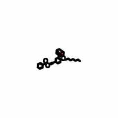 CCCCCCCOc1ccc(C#COC(=O)c2ccccc2)cc1C12CC3CC(CC(C3)C1)C2